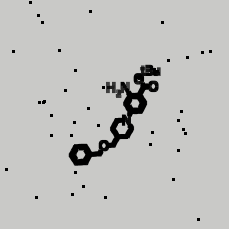 CC(C)(C)OC(=O)c1ccc(N2CCC(COCc3ccccc3)CC2)cc1N